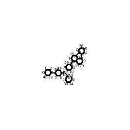 c1ccc(-c2ccc(N(c3ccc(-c4ccc5c6c(cccc46)-c4ccccc4-5)cc3)c3ccccn3)cc2)cc1